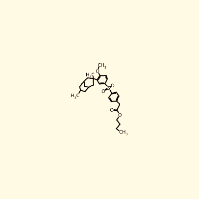 CCCCOC(=O)Cc1ccc(S(=O)(=O)c2ccc(OC)c(C3(C)CC4CC(C)CC(C4)C3)c2)cc1